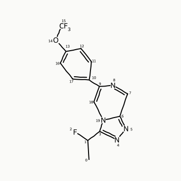 CC(F)c1nnc2cnc(-c3ccc(OC(F)(F)F)cc3)cn12